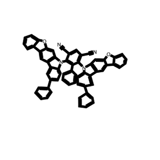 N#Cc1cc(C#N)c(-n2c3ccc(-c4ccccc4)cc3c3cc4c(cc32)oc2ccccc24)c(-c2ccccc2)c1-n1c2ccc(-c3ccccc3)cc2c2cc3c(cc21)oc1ccccc13